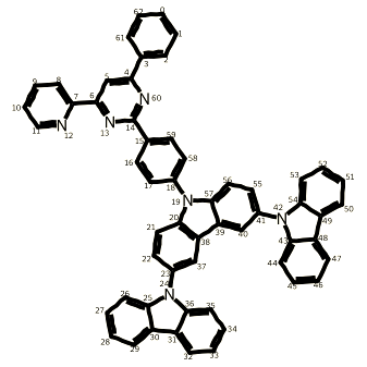 c1ccc(-c2cc(-c3ccccn3)nc(-c3ccc(-n4c5ccc(-n6c7ccccc7c7ccccc76)cc5c5cc(-n6c7ccccc7c7ccccc76)ccc54)cc3)n2)cc1